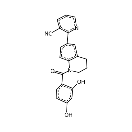 N#Cc1cccnc1-c1ccc2c(c1)CCCN2C(=O)c1ccc(O)cc1O